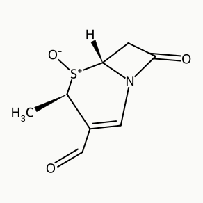 C[C@@H]1C(C=O)=CN2C(=O)C[C@H]2[S+]1[O-]